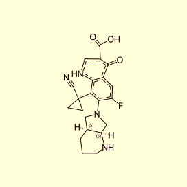 N#CC1(c2c(N3C[C@@H]4CCCN[C@@H]4C3)c(F)cc3c(=O)c(C(=O)O)c[nH]c23)CC1